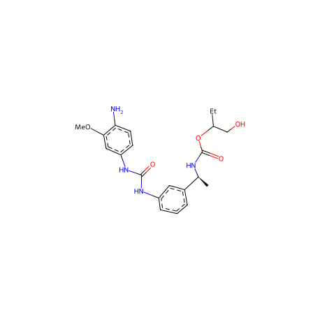 CCC(CO)OC(=O)N[C@@H](C)c1cccc(NC(=O)Nc2ccc(N)c(OC)c2)c1